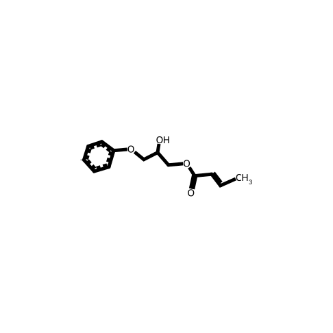 CC=CC(=O)OCC(O)COc1cc[c]cc1